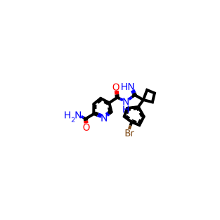 N=C(NC(=O)c1ccc(C(N)=O)nc1)C1(c2ccc(Br)cc2)CCC1